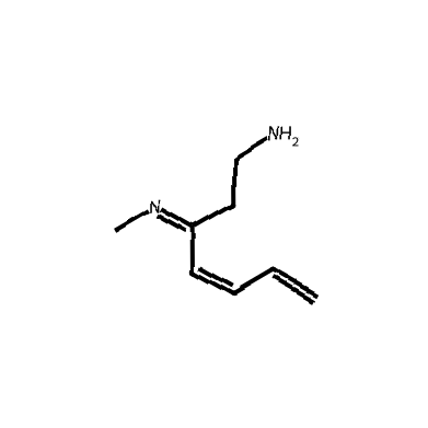 C=C/C=C\C(CCN)=N/C